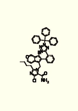 CCCCc1nc(Cl)c(C(N)=O)n1Cc1c2ccocc-2c(Br)c1-c1ccccc1-c1nnn(C(c2ccccc2)(c2ccccc2)c2ccccc2)n1